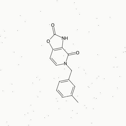 Cc1cccc(Cn2ccc3oc(=O)[nH]c3c2=O)c1